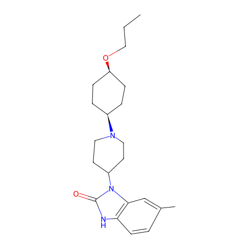 CCCO[C@H]1CC[C@@H](N2CCC(n3c(=O)[nH]c4ccc(C)cc43)CC2)CC1